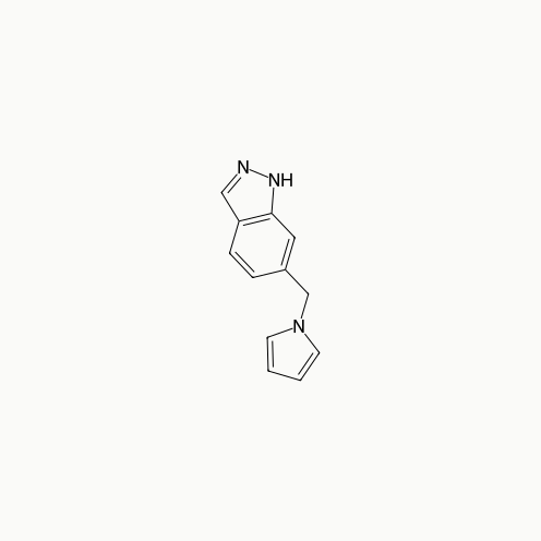 c1ccn(Cc2ccc3cn[nH]c3c2)c1